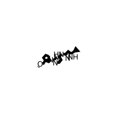 COCC12CCC(C1)N(c1nccc(Nc3cc(C4CC4)[nH]n3)n1)C2